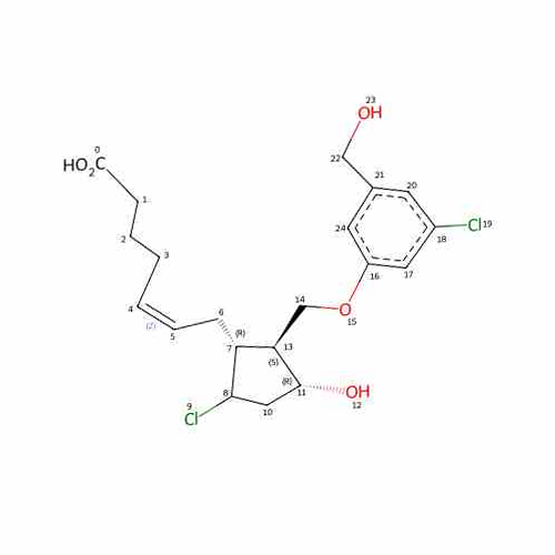 O=C(O)CCC/C=C\C[C@H]1C(Cl)C[C@@H](O)[C@@H]1COc1cc(Cl)cc(CO)c1